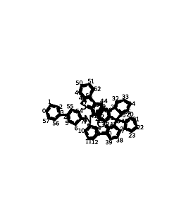 c1ccc(-c2ccc(N(c3cccc4c3oc3c(C5(c6ccccc6)c6ccccc6-c6ccccc65)cccc34)c3cccc4c3sc3ccccc34)cc2)cc1